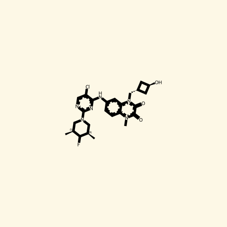 C[C@@H]1CN(c2ncc(Cl)c(Nc3ccc4c(c3)n(C[C@H]3C[C@H](O)C3)c(=O)c(=O)n4C)n2)C[C@H](C)C1F